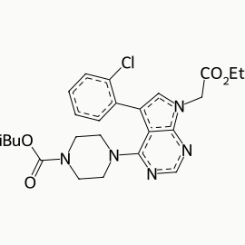 CCOC(=O)Cn1cc(-c2ccccc2Cl)c2c(N3CCN(C(=O)OCC(C)C)CC3)ncnc21